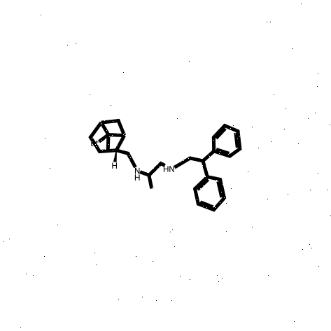 CCC1(C)C2CC[C@@H](CNC(C)CNCC(c3ccccc3)c3ccccc3)C1C2